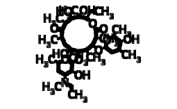 CC[C@H]1OC(=O)[C@H](C)[C@@H](O[C@H]2C[C@H](C)[C@@H](O)[C@H](C)O2)[C@H](C)[C@@H](O[C@@H]2O[C@H](C)C[C@H](N(C)CC)[C@H]2O)[C@](C)(O)C[C@@H](C)C(=O)[C@H](C)[C@@H](O)[C@]1(C)O